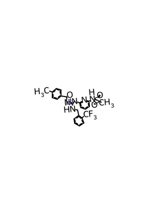 Cc1ccc(C(=O)/N=C(/NCc2ccccc2C(F)(F)F)Nc2cccc(NS(C)(=O)=O)n2)cc1